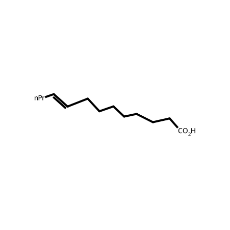 CCCC=CCCCCCCCC(=O)O